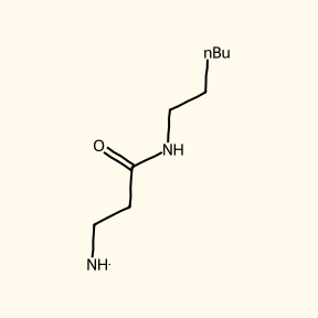 CCCCCCNC(=O)CC[NH]